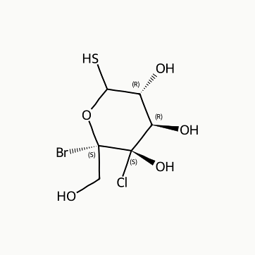 OC[C@@]1(Br)OC(S)[C@H](O)[C@@H](O)[C@]1(O)Cl